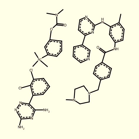 CN(C)C(=O)Oc1cccc([N+](C)(C)C)c1.Cc1ccc(NC(=O)c2ccc(CN3CCN(C)CC3)cc2)cc1Nc1nccc(-c2cccnc2)n1.Nc1nnc(-c2cccc(Cl)c2Cl)c(N)n1